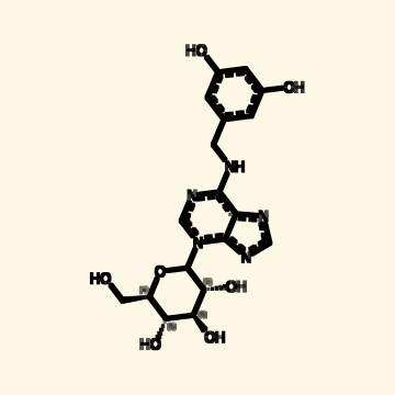 OC[C@H]1OC(n2cnc(NCc3cc(O)cc(O)c3)c3ncnc2-3)[C@H](O)[C@@H](O)[C@@H]1O